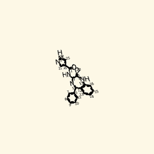 O=C(NC1N=C(c2ccccc2)c2ccccc2NC1=O)c1cn[nH]c1